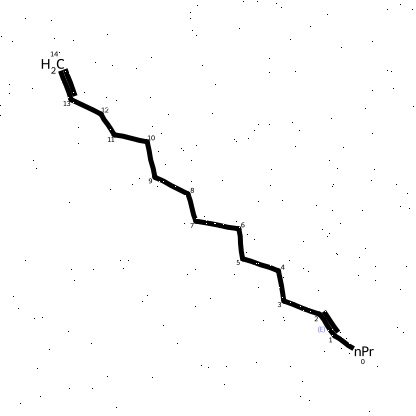 [CH2]CC/C=C/CCCCCCCCCCC=C